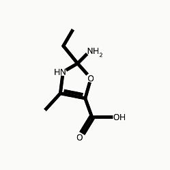 CCC1(N)NC(C)=C(C(=O)O)O1